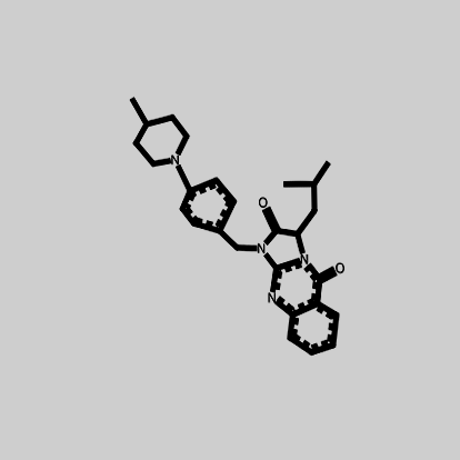 CC(C)CC1C(=O)N(Cc2ccc(N3CCC(C)CC3)cc2)c2nc3ccccc3c(=O)n21